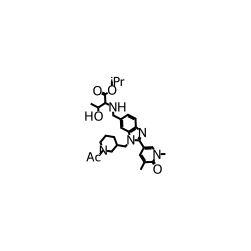 CC(=O)N1CCCC(Cn2c(-c3cc(C)c(=O)n(C)c3)nc3ccc(CNC(C(=O)OC(C)C)C(C)O)cc32)C1